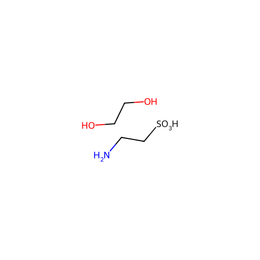 NCCS(=O)(=O)O.OCCO